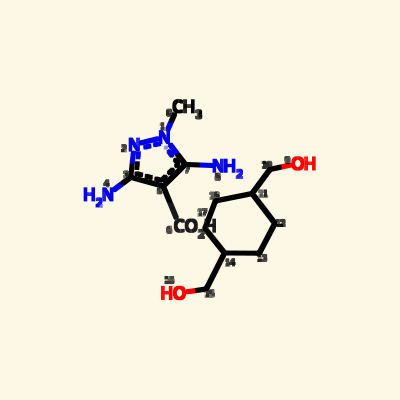 Cn1nc(N)c(C(=O)O)c1N.OCC1CCC(CO)CC1